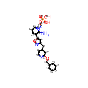 Nc1c(-c2cc(Cc3ccnc(OCc4ccccc4)c3)no2)ccc[n+]1COP(=O)(O)O